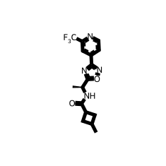 CC1CC(C(=O)N[C@@H](C)c2nc(-c3ccnc(C(F)(F)F)c3)no2)C1